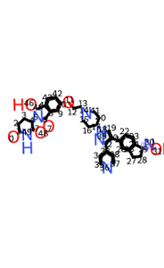 O=C1CCC(N2C(=O)c3cc(OCCN4CCC(n5cc(-c6ccc7c(c6)CC/C7=N\O)c(-c6ccncc6)n5)CC4)ccc3C2O)C(=O)N1